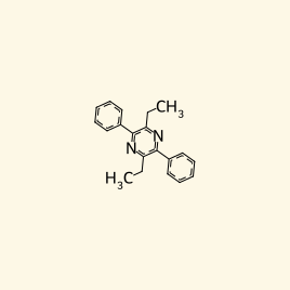 CCc1nc(-c2ccccc2)c(CC)nc1-c1ccccc1